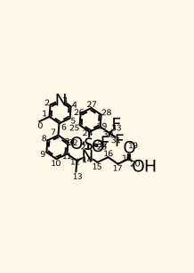 Cc1cnccc1-c1cccc(C(C)N(CCCC(=O)O)S(=O)(=O)c2ccccc2C(F)(F)F)c1